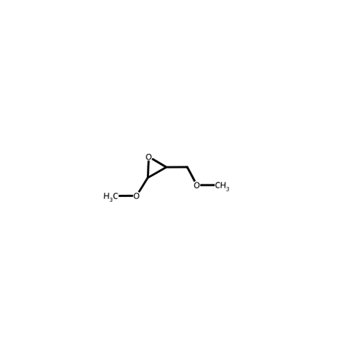 COCC1OC1OC